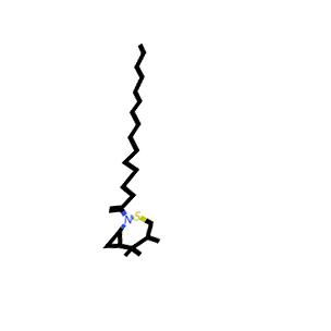 C=C(CCCCCCCCCCCCCC)N1SCC(C)C(C)(C)C2CC21